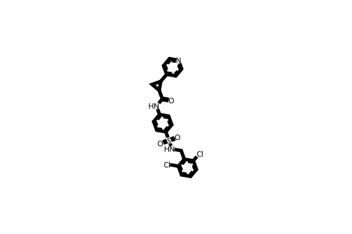 O=C(Nc1ccc(S(=O)(=O)NCc2c(Cl)cccc2Cl)cc1)C1CC1c1ccncc1